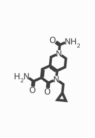 NC(=O)c1cc2c(n(CC3CC3)c1=O)CCN(C(N)=O)C2